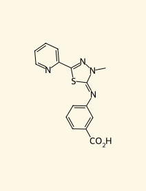 Cn1nc(-c2ccccn2)sc1=Nc1cccc(C(=O)O)c1